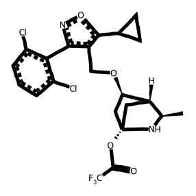 C[C@H]1N[C@]2(OC(=O)C(F)(F)F)C[C@@H]1[C@H](OCc1c(-c3c(Cl)cccc3Cl)noc1C1CC1)C2